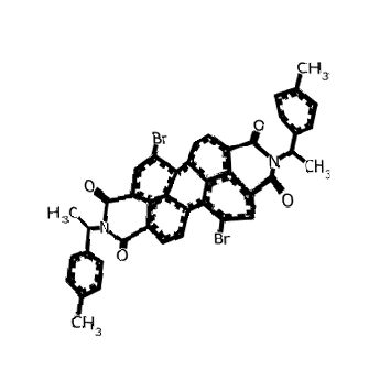 Cc1ccc(C(C)N2C(=O)c3ccc4c5c(Br)cc6c7c(ccc(c8c(Br)cc(c3c48)C2=O)c75)C(=O)N(C(C)c2ccc(C)cc2)C6=O)cc1